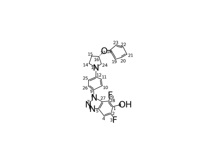 Oc1c(F)cc2nnn(-c3ccc(N4CC[C@H](Oc5ccccc5)C4)cc3)c2c1F